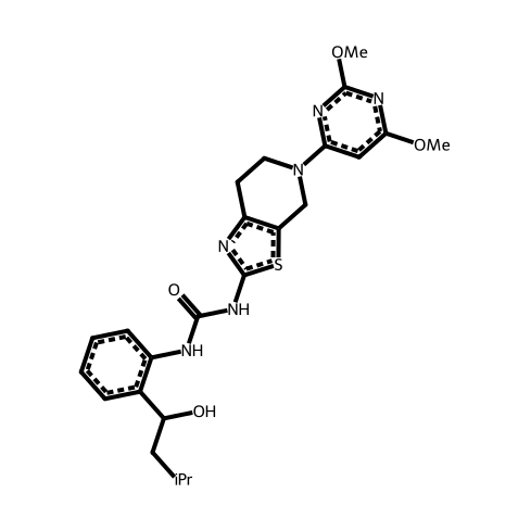 COc1cc(N2CCc3nc(NC(=O)Nc4ccccc4C(O)CC(C)C)sc3C2)nc(OC)n1